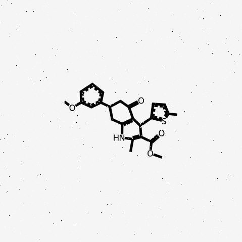 COC(=O)C1=C(C)NC2=C(C(=O)CC(c3cccc(OC)c3)C2)C1c1ccc(C)s1